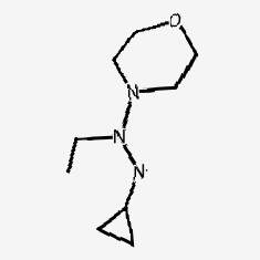 CCN([N]C1CC1)N1CCOCC1